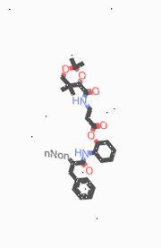 CCCCCCCCCC(Cc1ccccc1)C(=O)NC1CCCCC1OC(=O)CCNC(=O)C1OC(C)(C)OCC1(C)C